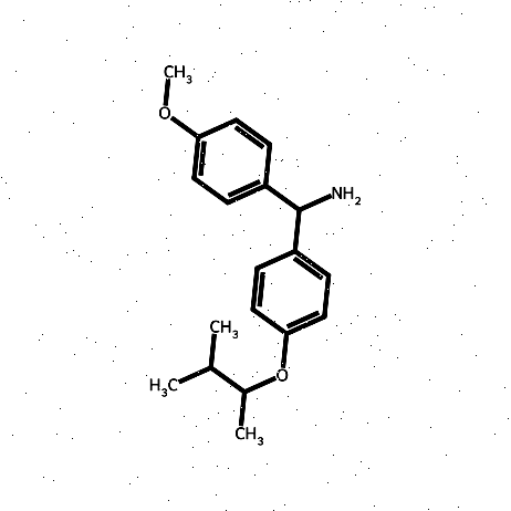 COc1ccc(C(N)c2ccc(OC(C)C(C)C)cc2)cc1